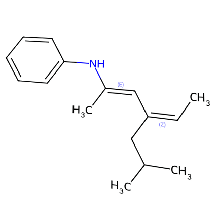 C/C=C(\C=C(/C)Nc1ccccc1)CC(C)C